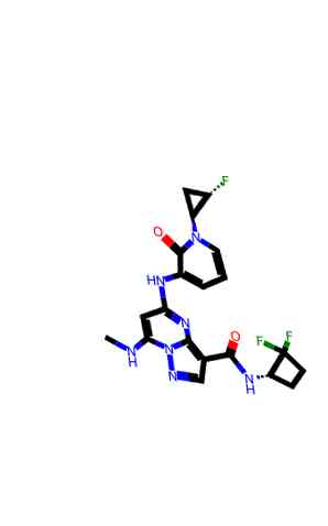 CNc1cc(Nc2cccn([C@H]3C[C@@H]3F)c2=O)nc2c(C(=O)N[C@H]3CCC3(F)F)cnn12